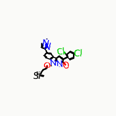 Cn1ccc(-c2ccc3c(c2)c2cc(-c4ccc(Cl)cc4Cl)c(=O)n(C)c2n3COCC[Si](C)(C)C)n1